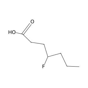 CCCC(F)CCC(=O)O